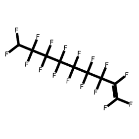 F[C](F)C(F)(F)C(F)(F)C(F)(F)C(F)(F)C(F)(F)C(F)(F)C(F)=C(F)F